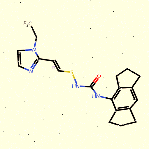 O=C(NS/C=C/c1nccn1CC(F)(F)F)Nc1c2c(cc3c1CCC3)CCC2